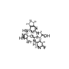 CC(C)c1cc(Nc2nc(N3C[C@H](O)C[C@@H]3C(=O)Nc3ccc(F)nc3)nc3c2CCC3)n[nH]1